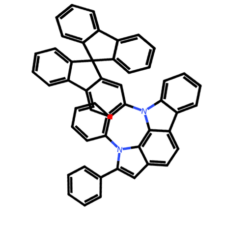 c1ccc(-c2cc3ccc4c5ccccc5n(-c5ccc6c(c5)C5(c7ccccc7-c7ccccc75)c5ccccc5-6)c4c3n2-c2ccccc2)cc1